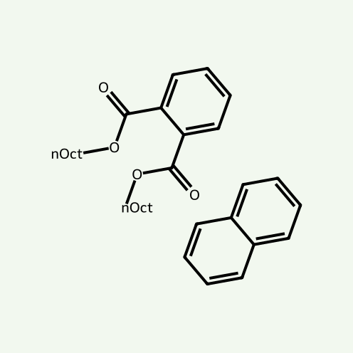 CCCCCCCCOC(=O)c1ccccc1C(=O)OCCCCCCCC.c1ccc2ccccc2c1